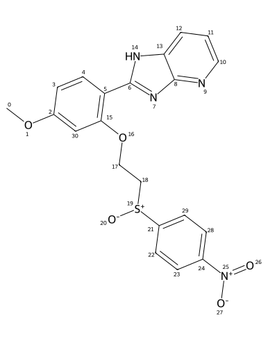 COc1ccc(-c2nc3ncccc3[nH]2)c(OCC[S+]([O-])c2ccc([N+](=O)[O-])cc2)c1